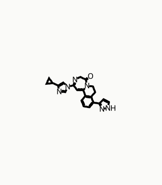 O=C1CN=C(n2cnc(C3CC3)c2)C=C2c3cccc(-c4cc[nH]n4)c3CCN12